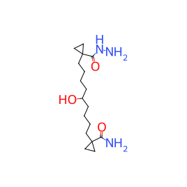 NNC(=O)C1(CCCCC(O)CCCCC2(C(N)=O)CC2)CC1